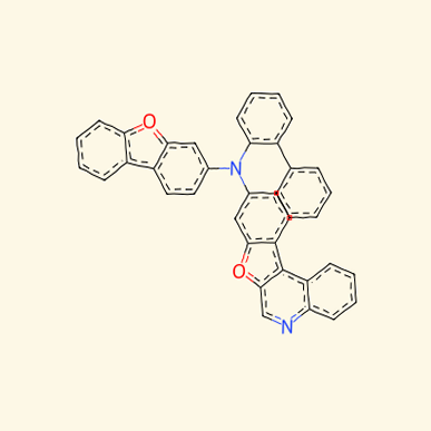 c1ccc(-c2ccccc2N(c2ccc3c(c2)oc2ccccc23)c2ccc3c(c2)oc2cnc4ccccc4c23)cc1